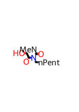 CCCCCCN(C(=O)CO)C(=O)NC